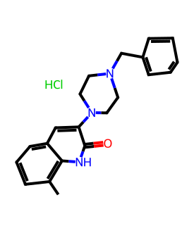 Cc1cccc2cc(N3CCN(Cc4ccccc4)CC3)c(=O)[nH]c12.Cl